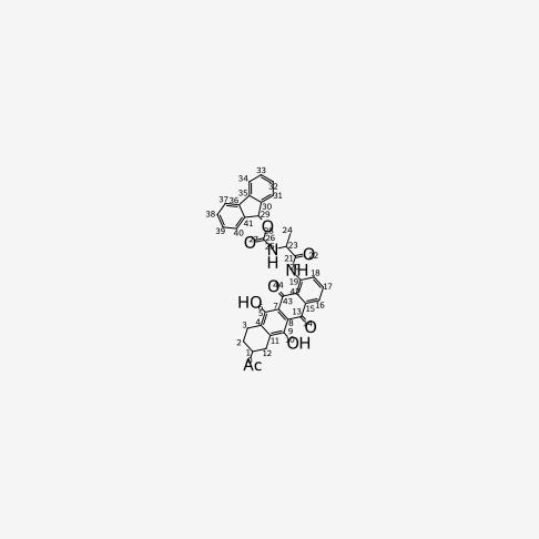 CC(=O)C1CCc2c(O)c3c(c(O)c2C1)C(=O)c1cccc(NC(=O)C(C)NC(=O)OC2c4ccccc4-c4ccccc42)c1C3=O